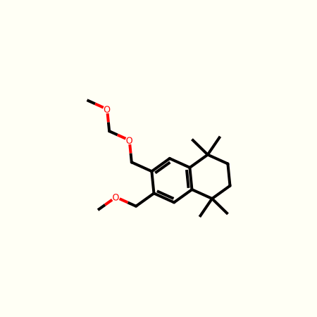 COCOCc1cc2c(cc1COC)C(C)(C)CCC2(C)C